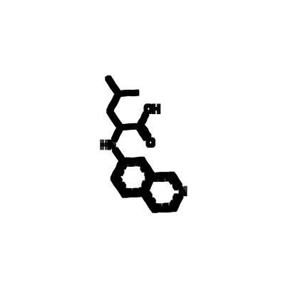 CC(C)CC(Nc1ccc2ccncc2c1)C(=O)O